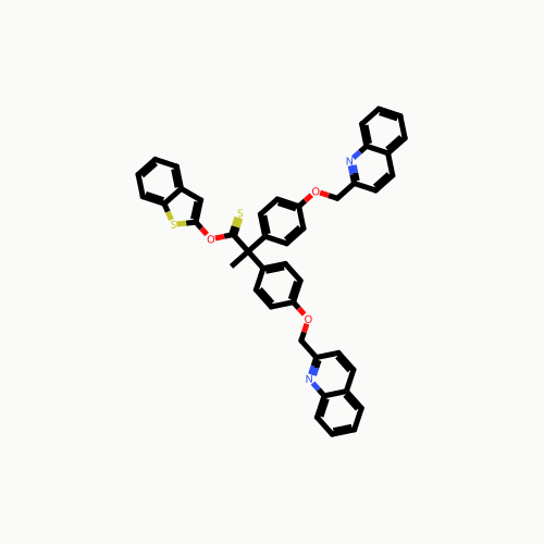 CC(C(=S)Oc1cc2ccccc2s1)(c1ccc(OCc2ccc3ccccc3n2)cc1)c1ccc(OCc2ccc3ccccc3n2)cc1